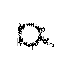 CC[C@H](C)[C@H]1CN(C)CCN(C)CCN(C)[C@@H](CC2CCCCC2)CN(C)CCN[C@@H](CCc2ccc(C(F)(F)F)c(F)c2)CN2CCC[C@H]2CNC2(CCC2)CN(C)[C@@H](CC(C)C)CN[C@H](C)CCN(C)[C@@H](CC(C)C)CN1